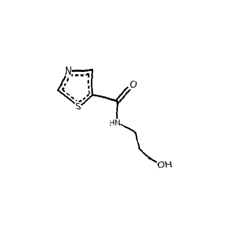 O=C(NCCO)c1cncs1